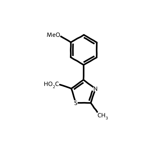 COc1cccc(-c2nc(C)sc2C(=O)O)c1